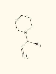 C=CC(N)N1CCCCC1